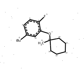 CCC(C)c1ccc(F)c(OC2(C)CCCCC2)c1